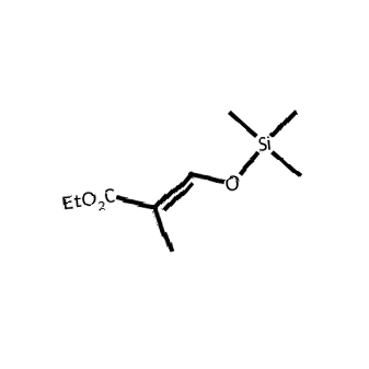 CCOC(=O)C(C)=CO[Si](C)(C)C